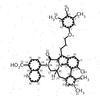 Cc1cc(OCCCc2c3n4c5c(c(Cl)ccc25)-c2c(nn(C)c2C)C[C@@H]4CN(c2ccc(C(=O)O)c4ncccc24)C3=O)cc(C)c1Cl